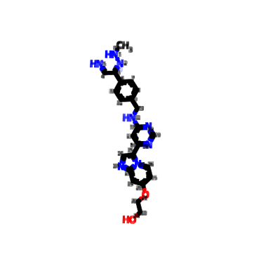 CN/N=C(\C=N)c1ccc(CNc2cc(-c3cnc4cc(OCCO)ccn34)ncn2)cc1